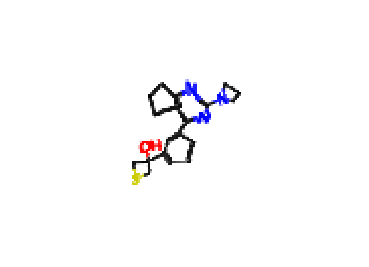 OC1(c2cccc(-c3nc(N4CCC4)nc4c3CCC4)c2)CSC1